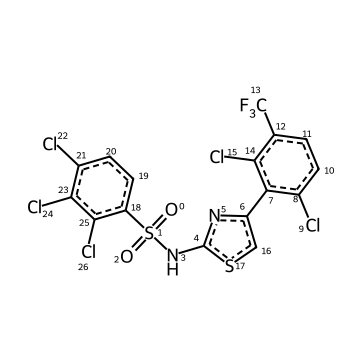 O=S(=O)(Nc1nc(-c2c(Cl)ccc(C(F)(F)F)c2Cl)cs1)c1ccc(Cl)c(Cl)c1Cl